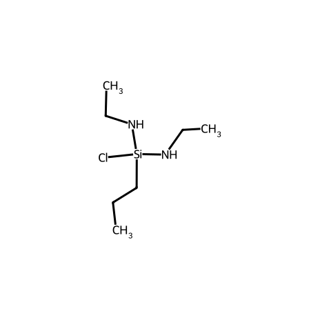 CCC[Si](Cl)(NCC)NCC